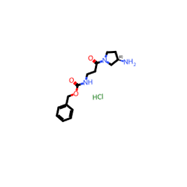 Cl.N[C@@H]1CCN(C(=O)CCNC(=O)OCc2ccccc2)C1